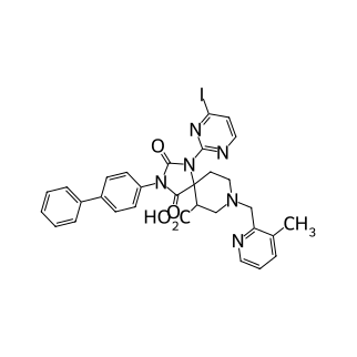 Cc1cccnc1CN1CCC2(C(=O)N(c3ccc(-c4ccccc4)cc3)C(=O)N2c2nccc(I)n2)C(C(=O)O)C1